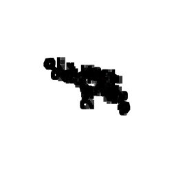 CC(C)(C)[Si](C)(C)O[C@@H]1[C@H]2OP(=S)(OCCC#N)OC[C@H]3O[C@@H](n4cnc5c(NC(=O)c6ccccc6)ncnc54)C[C@H]3OP(=O)(S)O[C@]1(F)C[C@H]2n1cnc2c(NC(=O)c3ccccc3)ncnc21